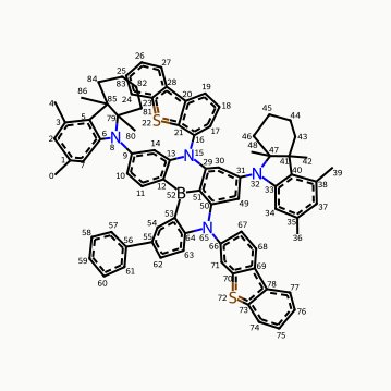 Cc1cc(C)c2c(c1)N(c1ccc3c(c1)N(c1cccc4c1sc1ccccc14)c1cc(N4c5cc(C)cc(C)c5C5(C)CCCCC45C)cc4c1B3c1cc(-c3ccccc3)ccc1N4c1ccc3c(c1)sc1ccccc13)C1(C)CCCCC21C